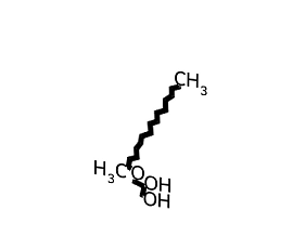 CCCCCCCCCCCCCCCC(C)OCC(O)CO